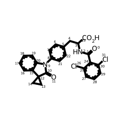 O=C(NC(Cc1ccc(N2C(=O)C3(CC3)c3ccccc32)cc1)C(=O)O)c1c(Cl)cccc1Cl